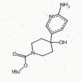 CC(C)(C)OC(=O)N1CCC(O)(c2ccc(N)nc2)CC1